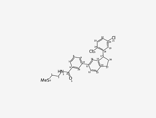 CSCCNC(=O)c1cccc(-c2ccc3c(c2)C(c2cc(Cl)ccc2Cl)CC3)c1